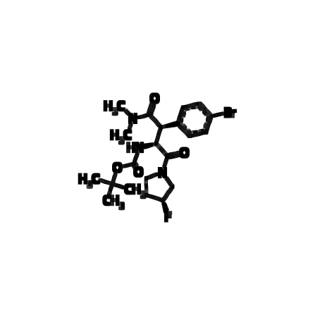 CN(C)C(=O)[C@@H](c1ccc(Br)cc1)[C@H](NC(=O)OC(C)(C)C)C(=O)N1CC[C@H](F)C1